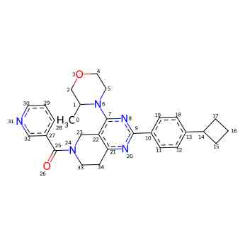 CC1COCCN1c1nc(-c2[c]cc(C3CCC3)cc2)nc2c1CN(C(=O)c1cccnc1)CC2